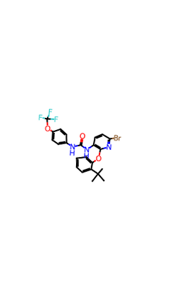 CC(C)(C)c1ccccc1Oc1nc(Br)ccc1NC(=O)Nc1ccc(OC(F)(F)F)cc1